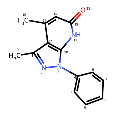 Cc1nn(-c2ccccc2)c2[nH]c(=O)cc(C(F)(F)F)c12